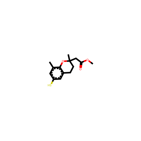 COC(=O)CC1(C)CCc2cc(S)cc(C)c2O1